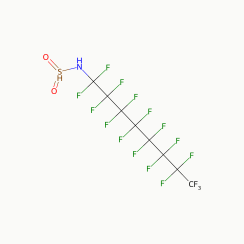 O=[SH](=O)NC(F)(F)C(F)(F)C(F)(F)C(F)(F)C(F)(F)C(F)(F)C(F)(F)C(F)(F)F